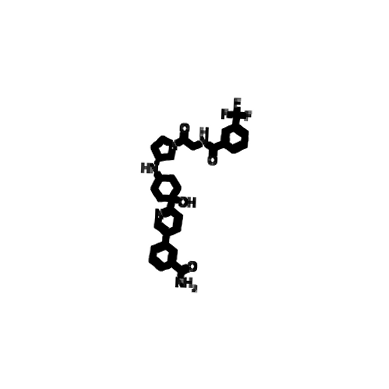 NC(=O)c1cccc(-c2ccc(C3(O)CCC(N[C@H]4CCN(C(=O)CNC(=O)c5cccc(C(F)(F)F)c5)C4)CC3)nc2)c1